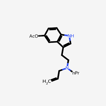 C=CCN(CCC)CCc1c[nH]c2ccc(OC(C)=O)cc12